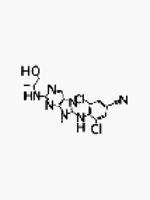 C[C@@H](CO)Nc1ncc2nc(Nc3c(Cl)cc(C#N)cc3Cl)n(C)c2n1